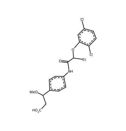 CCC(Oc1cc(Cl)ccc1Cl)C(=O)Nc1ccc(C(CC(=O)O)OC)cc1